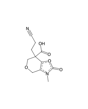 Cn1c2c(oc1=O)C(CCC#N)(C(=O)O)COC2